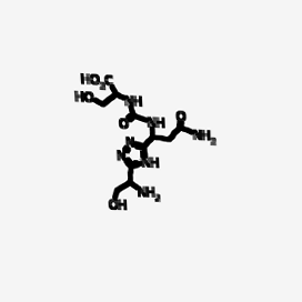 NC(=O)CC(NC(=O)NC(CO)C(=O)O)c1nnc(C(N)CO)[nH]1